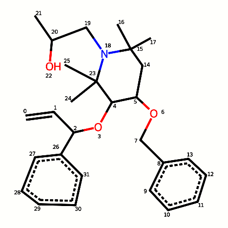 C=CC(OC1C(OCc2ccccc2)CC(C)(C)N(CC(C)O)C1(C)C)c1ccccc1